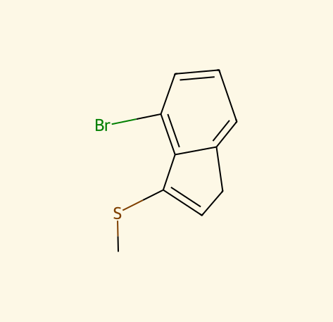 CSC1=CCc2cccc(Br)c21